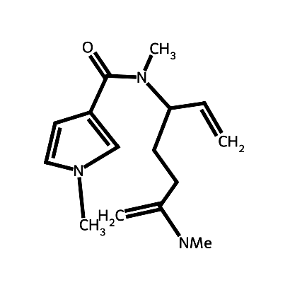 C=CC(CCC(=C)NC)N(C)C(=O)c1ccn(C)c1